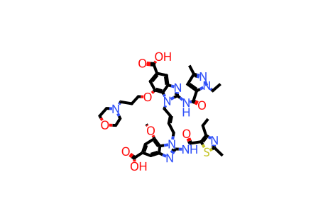 CCc1nc(C)sc1C(=O)Nc1nc2cc(C(=O)O)cc(OC)c2n1C/C=C/Cn1c(NC(=O)c2cc(C)nn2CC)nc2cc(C(=O)O)cc(OCCCN3CCOCC3)c21